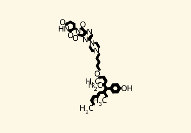 C=C\C=C/C=C/C(CC)=C(\C(=C)/C=C\C(=C)OCCCCCN1CCN(c2cnc3c(n2)C(=O)N(C2CCC(=O)NC2=O)C3=O)CC1)c1ccc(O)cc1